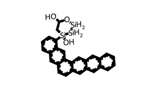 OC1C[Si](O)(c2cccc3cc4ccc5cc6cc7ccccc7cc6cc5c4cc23)[SiH2][SiH2]O1